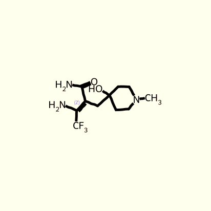 CN1CCC(O)(C/C(C(N)=O)=C(/N)C(F)(F)F)CC1